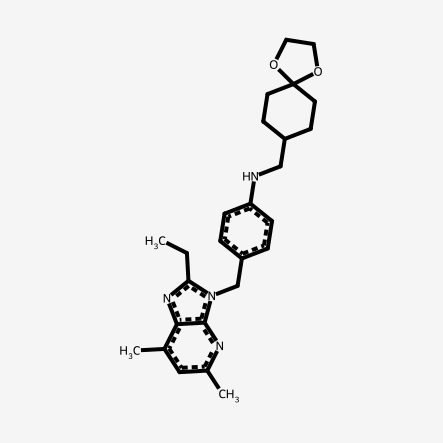 CCc1nc2c(C)cc(C)nc2n1Cc1ccc(NCC2CCC3(CC2)OCCO3)cc1